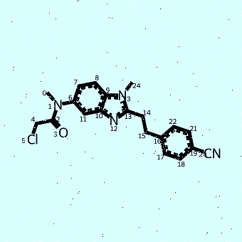 CN(C(=O)CCl)c1ccc2c(c1)nc(CCc1ccc(C#N)cc1)n2C